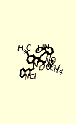 CCc1ccc2c(c1)c(-c1ccc[nH]c1=O)c(C(=O)NS(C)(=O)=O)n2Cc1cc2ccccc2nc1Cl